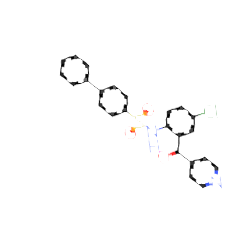 O=C(c1ccncc1)c1cc(Cl)ccc1NS(=O)(=O)c1ccc(-c2ccccc2)cc1